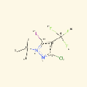 CC(C)(C)n1nc(Cl)c(C(F)(F)F)c1I